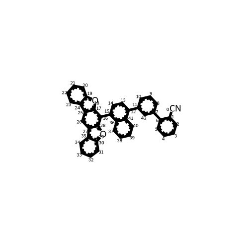 N#Cc1ccccc1-c1cccc(-c2ccc(-c3c4oc5ccccc5c4cc4c3oc3ccccc34)c3ccccc23)c1